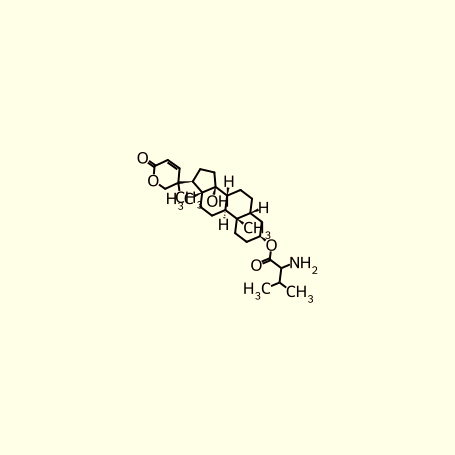 CC(C)C(N)C(=O)O[C@H]1CC[C@@]2(C)[C@H](CC[C@@H]3[C@@H]2CC[C@]2(C)[C@@H](C4(C)C=CC(=O)OC4)CC[C@]32O)C1